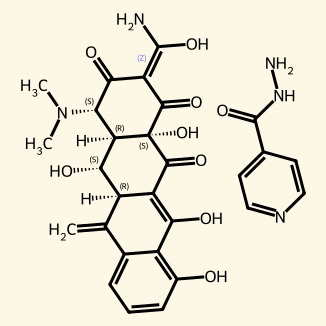 C=C1c2cccc(O)c2C(O)=C2C(=O)[C@]3(O)C(=O)/C(=C(/N)O)C(=O)[C@@H](N(C)C)[C@@H]3[C@@H](O)[C@H]12.NNC(=O)c1ccncc1